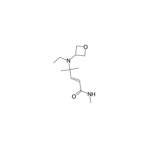 CCN(C1COC1)C(C)(C)/C=C/C(=O)NC